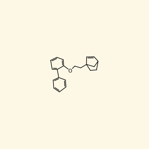 C1=CC2(CCOc3ccccc3-c3ccccc3)CCC1C2